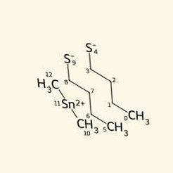 CCCC[S-].CCCC[S-].[CH3][Sn+2][CH3]